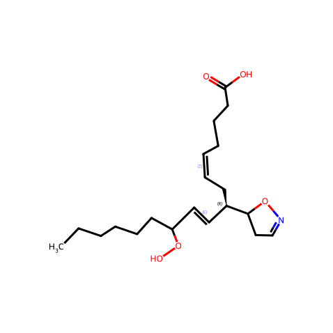 CCCCCCC(/C=C/[C@@H](C/C=C\CCCC(=O)O)C1CC=NO1)OO